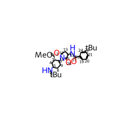 COC(=O)[C@@H]1C[C@H](NC(C)(C)C)CC[C@@H]1N1CC[C@H](NC(=O)c2cccc(C(C)(C)C)c2)C1=O